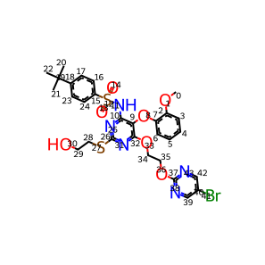 COc1ccccc1Oc1c(NS(=O)(=O)c2ccc(C(C)(C)C)cc2)nc(SCCO)nc1OCCOc1ncc(Br)cn1